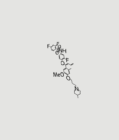 C=C/C=C(/Oc1ccc(NS(=O)(=O)c2ccc(F)cc2F)cc1F)c1cc(OC)c(OCCCN2CCC(C)CC2)cc1C